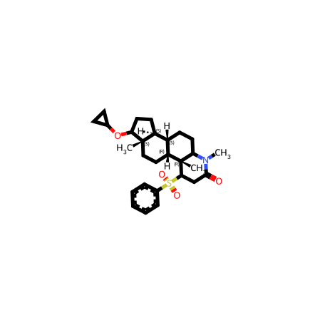 CN1C(=O)CC(S(=O)(=O)c2ccccc2)[C@@]2(C)C1CC[C@@H]1[C@H]2CC[C@]2(C)C(OC3CC3)CC[C@@H]12